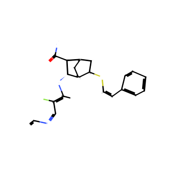 C=C/N=C\C(F)=C(/C)N[C@@H]1C2CC(CC2S/C=C\c2ccccc2)C1C(N)=O